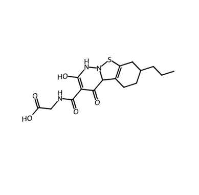 CCCC1CCC2=C(C1)SN1NC(O)=C(C(=O)NCC(=O)O)C(=O)C21